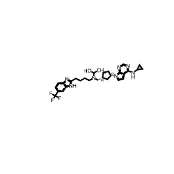 CC(O)N(CCCCc1nc2ccc(C(F)(F)F)cc2[nH]1)C[C@@H]1CC[C@H](n2ccc3c(NC4CC4)ncnc32)C1